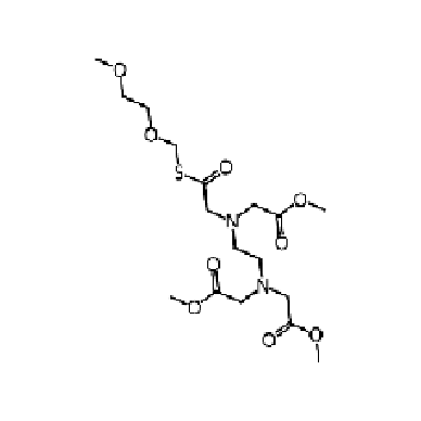 COCCOCSC(=O)CN(CCN(CC(=O)OC)CC(=O)OC)CC(=O)OC